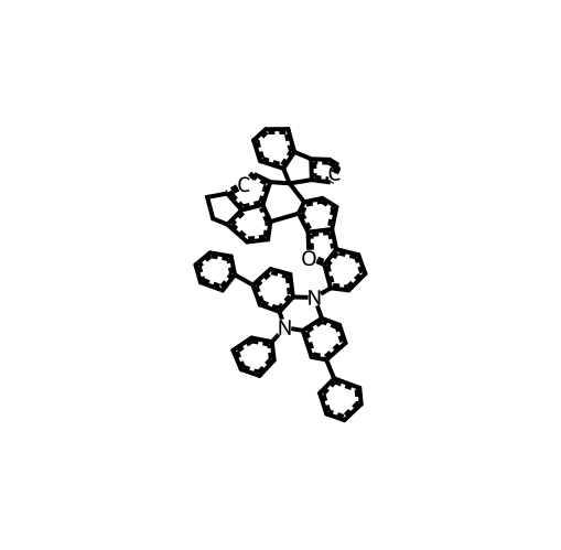 c1ccc(-c2ccc3c(c2)N(c2ccccc2)c2cc(-c4ccccc4)ccc2N3c2cccc3c2oc2c4c(ccc23)C2(c3ccccc3-c3ccccc32)c2ccc3c5c(ccc-4c25)CC3)cc1